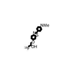 CNc1ccc(-c2nc3ccc(OC[C@H](O)C[18F])cc3s2)cc1